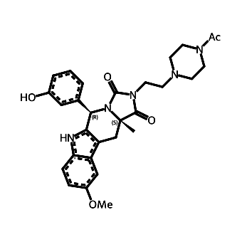 COc1ccc2[nH]c3c(c2c1)C[C@@]1(C)C(=O)N(CCN2CCN(C(C)=O)CC2)C(=O)N1[C@@H]3c1cccc(O)c1